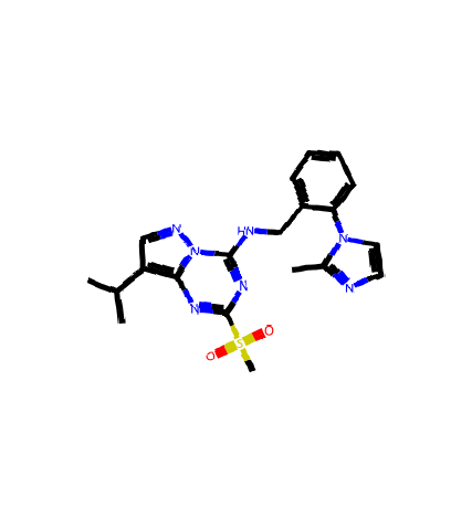 Cc1nccn1-c1ccccc1CNc1nc(S(C)(=O)=O)nc2c(C(C)C)cnn12